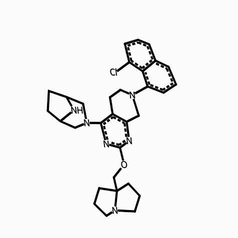 Clc1cccc2cccc(N3CCc4c(nc(OCC56CCCN5CCC6)nc4N4CC5CCC(C4)N5)C3)c12